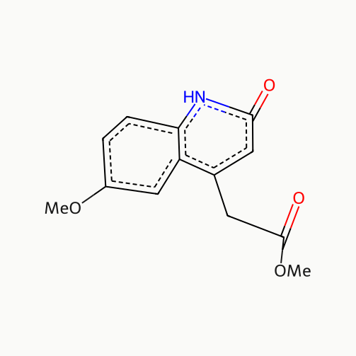 COC(=O)Cc1cc(=O)[nH]c2ccc(OC)cc12